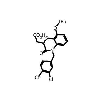 CC(C)(C)Oc1cccc2c1SC(CC(=O)O)C(=O)N2Cc1ccc(Cl)c(Cl)c1